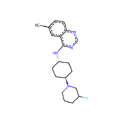 N#Cc1ccc2ncnc(N[C@H]3CC[C@H](N4CCCC(F)C4)CC3)c2c1